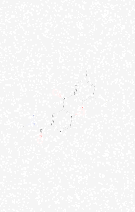 CSc1cc(C)cc2c(=O)c3cc(C(=O)N(C)C)ccc3oc12